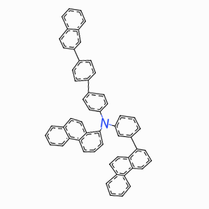 c1cc(-c2cccc3c2ccc2ccccc23)cc(N(c2ccc(-c3ccc(-c4ccc5ccccc5c4)cc3)cc2)c2cccc3c2ccc2ccccc23)c1